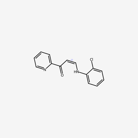 O=C(/C=C\Nc1ccccc1Cl)c1ccccn1